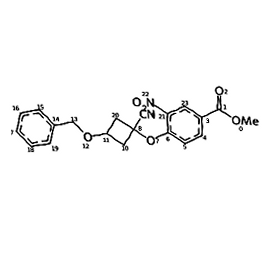 COC(=O)c1ccc(OC2(C#N)CC(OCc3ccccc3)C2)c([N+](=O)[O-])c1